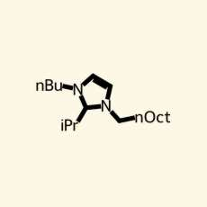 CCCCCCCCCN1C=CN(CCCC)C1C(C)C